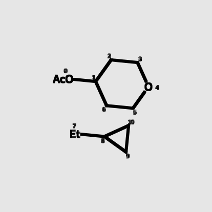 CC(=O)OC1CCOCC1.CCC1CC1